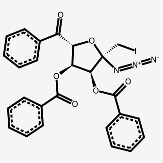 [N-]=[N+]=N[C@]1(CI)O[C@@H](C(=O)c2ccccc2)[C@H](OC(=O)c2ccccc2)[C@@H]1OC(=O)c1ccccc1